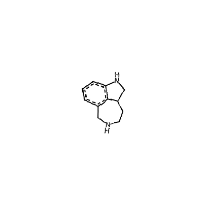 c1cc2c3c(c1)NCC3CCNC2